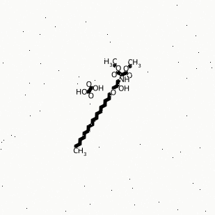 CCCCCCCCCCCCCCCCCCOCC(O)CNC(C(=O)OCC)C(=O)OCC.O=C(O)C(=O)O